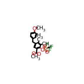 COC(=O)c1cc(Cc2ccc(OC)cc2)c(C)c(C)c1OS(=O)(=O)C(F)(F)F